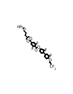 CCCOCCCC1COC(c2cc(F)c(C(=O)Oc3ccc(-c4ccc(O/C=C/C(F)(F)F)c(F)c4)c(F)c3)c(F)c2)OC1